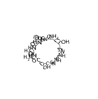 C[C@H]1NC(=O)[C@H](Cc2ccccc2)NC(=O)[C@@H](C)NC(=O)[C@@H](N)Cc2ccc(O)c(c2)Cc2cnc(s2)NCCNc2ncc(s2)Cc2cc(ccc2O)C[C@@H](C(N)=O)NC1=O